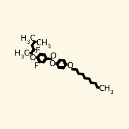 CCCCCCCCCCOc1ccc(OC(=O)c2ccc(O[C@@H](C)[C@@H](F)CC(C)C)c(F)c2)cc1